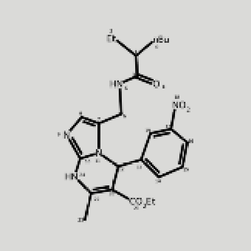 CCCCC(CC)C(=O)NCc1cnc2n1C(c1cccc([N+](=O)[O-])c1)C(C(=O)OCC)=C(C)N2